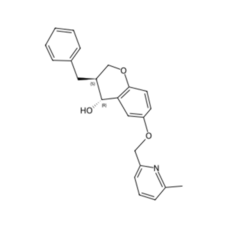 Cc1cccc(COc2ccc3c(c2)[C@H](O)[C@@H](Cc2ccccc2)CO3)n1